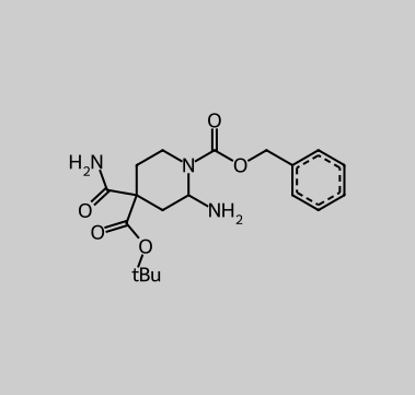 CC(C)(C)OC(=O)C1(C(N)=O)CCN(C(=O)OCc2ccccc2)C(N)C1